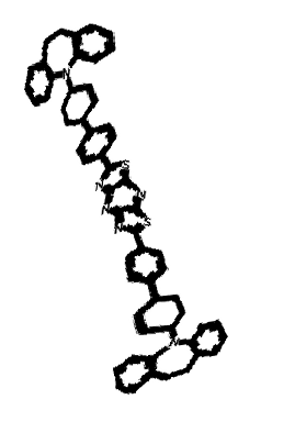 c1ccc2c(c1)CCc1ccccc1N2C1CCC(c2ccc(-c3nc4nc5nc(-c6ccc(C7CCC(N8c9ccccc9CCc9ccccc98)CC7)cc6)sc5nc4s3)cc2)CC1